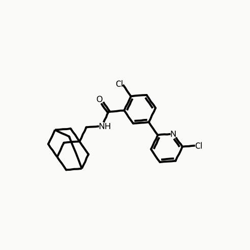 O=C(NCC12CC3CC(CC(C3)C1)C2)c1cc(-c2cccc(Cl)n2)ccc1Cl